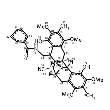 COc1c(C)c(OC)c2c(c1O)[C@H]1[C@@H]3Cc4c(OC)c(C)c(OC)c(O)c4[C@H](CNC(=O)c4ccccc4)N3[C@@H](C#N)[C@@H](C2)N1C